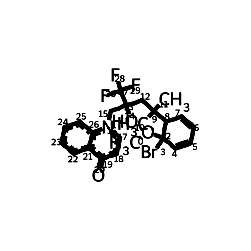 COC1(Br)C=CC=CC1C(C)(C)CC(O)(Cn1ccc(=O)c2ccccc21)C(F)(F)F